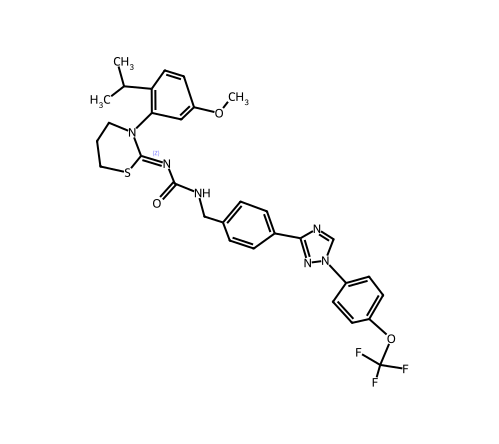 COc1ccc(C(C)C)c(N2CCCS/C2=N\C(=O)NCc2ccc(-c3ncn(-c4ccc(OC(F)(F)F)cc4)n3)cc2)c1